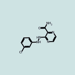 NC(=O)c1nccnc1NNc1cccc(Cl)c1